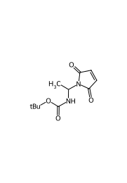 CC(NC(=O)OC(C)(C)C)N1C(=O)C=CC1=O